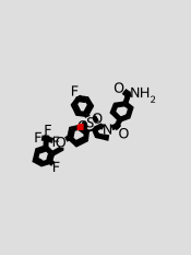 NC(=O)C1CCC(C(=O)N2CC[C@](c3ccc(OCc4c(F)cccc4C(F)(F)F)cc3)(S(=O)(=O)c3ccc(F)cc3)C2)CC1